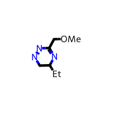 CCC1CN=NC(COC)=N1